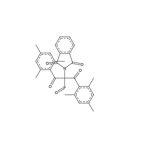 Cc1cc(C)c(C(=O)C(P=O)(C(=O)c2c(C)cc(C)cc2C)N2C(=O)c3ccccc3C2=O)c(C)c1